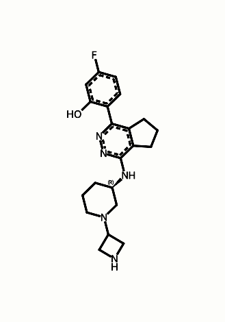 Oc1cc(F)ccc1-c1nnc(N[C@@H]2CCCN(C3CNC3)C2)c2c1CCC2